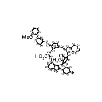 COc1ccccc1-c1nccc(COc2ccc3cc2CC(C(=O)O)Oc2ncnc4sc(-c5ccc(F)cc5)c(c24)-c2ccc(c(Cl)c2C)CN(CC2CCOCC2)C3)n1